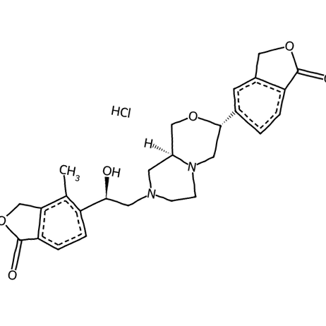 Cc1c([C@@H](O)CN2CCN3C[C@@H](c4ccc5c(c4)COC5=O)OC[C@@H]3C2)ccc2c1COC2=O.Cl